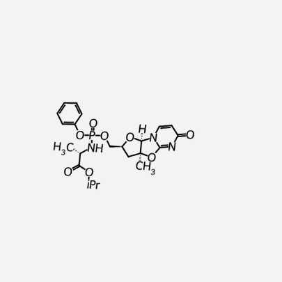 CC(C)OC(=O)[C@H](C)NP(=O)(OC[C@@H]1C[C@]2(C)Oc3nc(=O)ccn3[C@@H]2O1)Oc1ccccc1